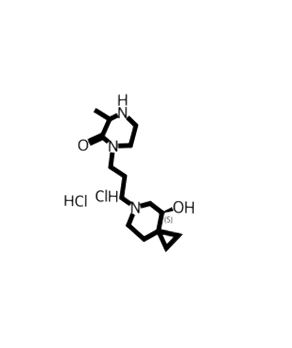 CC1NCCN(CCCN2CCC3(CC3)[C@H](O)C2)C1=O.Cl.Cl